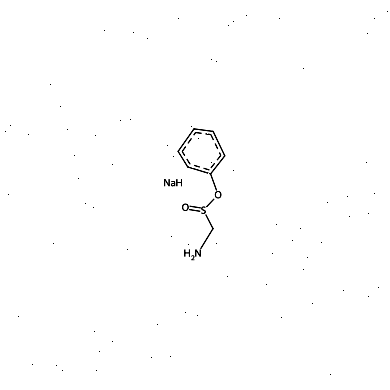 NCS(=O)Oc1ccccc1.[NaH]